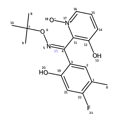 Cc1cc(/C(=N/OC(C)(C)C)c2c(O)ccc[n+]2[O-])c(O)cc1F